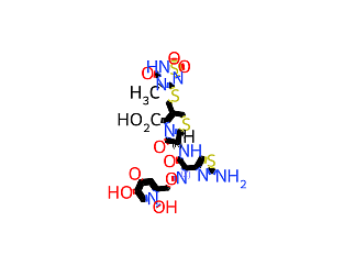 CN1C(=O)NS(=O)(=O)N=C1SCC1=C(C(=O)O)N2C(=O)[C@@H](NC(=O)/C(=N\OCc3cc(=O)c(O)cn3O)c3csc(N)n3)[C@H]2SC1